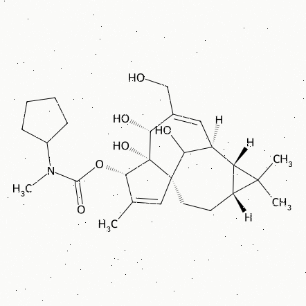 CC1=C[C@@]23CC[C@@H]4[C@H]([C@H](C=C(CO)[C@@H](O)[C@]2(O)[C@H]1OC(=O)N(C)C1CCCC1)C3O)C4(C)C